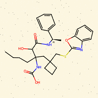 CCCCC(CC1(CSc2nc3ccccc3o2)CCC1)(NC(=O)O)C(O)C(=O)N[C@H](C)c1ccccc1